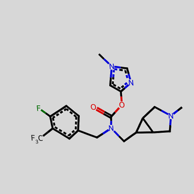 CN1CC2C(C1)C2CN(Cc1ccc(F)c(C(F)(F)F)c1)C(=O)Oc1cn(C)cn1